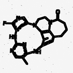 Cc1cnc2nc1NC1=CC3(C)CCCC(=O)N4CCN(C(=C43)C1C)c1cnc(F)c(c1)N2